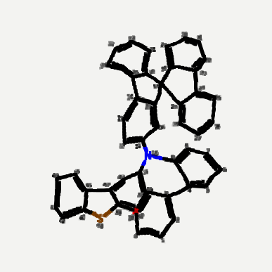 c1ccc(-c2ccccc2N(c2ccc3c(c2)C2(c4ccccc4-c4ccccc42)c2ccccc2-3)c2ccc3sc4ccccc4c3c2)cc1